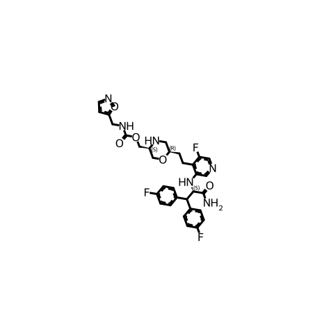 NC(=O)[C@@H](Nc1cncc(F)c1CC[C@@H]1CN[C@H](COC(=O)NCc2ccno2)CO1)C(c1ccc(F)cc1)c1ccc(F)cc1